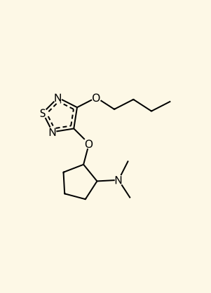 CCCCOc1nsnc1OC1CCCC1N(C)C